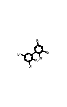 Brc1cc(Br)c(Br)c(-c2cc(Br)cc(Br)c2Br)c1